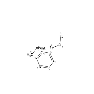 CCCCCC.CCOCC.c1ccncc1